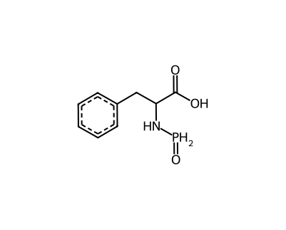 O=[PH2]NC(Cc1ccccc1)C(=O)O